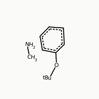 CC(C)(C)Oc1ccccc1.CN